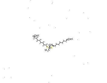 CCCCCCCCCCCCCCCCCCSC(C)(C)SCCCCCCCCCCCCCCCCCC